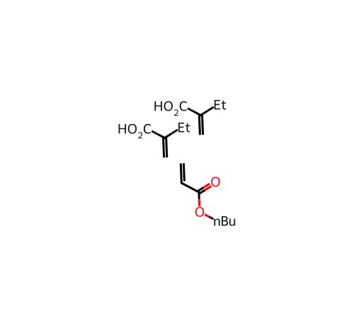 C=C(CC)C(=O)O.C=C(CC)C(=O)O.C=CC(=O)OCCCC